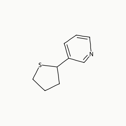 c1cncc(C2CCCS2)c1